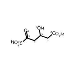 O=C(O)CC(O)CC(=O)C(=O)O